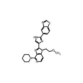 COCCn1c(-c2c[nH]c(-c3ccc4scnc4c3)n2)nc2c(N3CCCCC3)nccc21